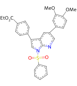 CCOC(=O)c1ccc(-c2cn(S(=O)(=O)c3ccccc3)c3ncc(-c4ccc(OC)c(OC)c4)cc23)cc1